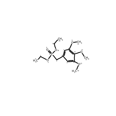 CCOP(=O)(Cc1cc(OC)c(OC)c(OC)c1)OCC